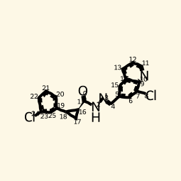 O=C(NN=Cc1cc(Cl)c2ncccc2c1)[C@H]1CC1c1cccc(Cl)c1